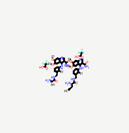 C#CC[C@H](N)C(=O)NCc1cccc(Nc2c(C(N)=O)cnc3cc(OCC)c(OCC)cc23)c1CC.CCC[C@H](N)C(=O)NCc1cccc(Nc2c(C(N)=O)cnc3cc(OCC)c(OCC)cc23)c1CC.O=C(O)C(F)(F)F.O=C(O)C(F)(F)F